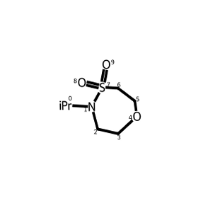 CC(C)N1CCOCCS1(=O)=O